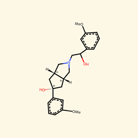 COc1cccc(C(O)CN2C[C@@H]3C[C@@](O)(c4cccc(OC)c4)C[C@@H]3C2)c1